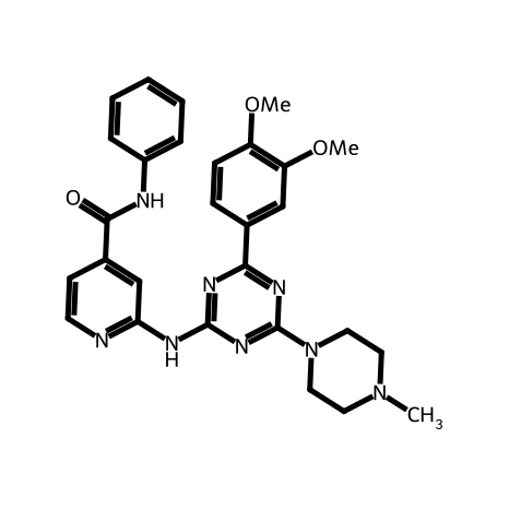 COc1ccc(-c2nc(Nc3cc(C(=O)Nc4ccccc4)ccn3)nc(N3CCN(C)CC3)n2)cc1OC